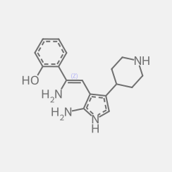 N/C(=C\c1c(C2CCNCC2)c[nH]c1N)c1ccccc1O